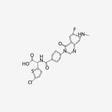 CNc1cc2ncn(-c3ccc(C(=O)NC(C(=O)O)c4ccc(Cl)s4)cc3)c(=O)c2cc1F